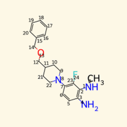 CNc1c(N)ccc(N2CCC(COCc3ccccc3)CC2)c1F